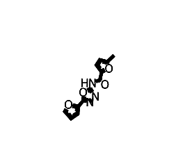 Cc1ccc(C(=O)Nc2nnc(-c3ccco3)o2)o1